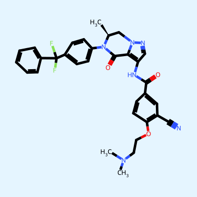 C[C@H]1Cn2ncc(NC(=O)c3ccc(OCCN(C)C)c(C#N)c3)c2C(=O)N1c1ccc(C(F)(F)c2ccccc2)cc1